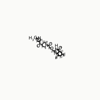 Cn1cc(C(=O)C2CCN(C(=O)COCc3nc4c(F)cc(F)cc4c(=O)[nH]3)CC2)cn1